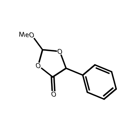 COC1OC(=O)C(c2ccccc2)O1